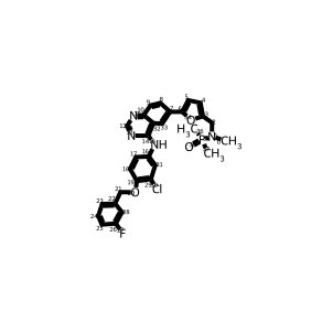 CN(Cc1ccc(-c2ccc3ncnc(Nc4ccc(OCc5cccc(F)c5)c(Cl)c4)c3c2)o1)P(C)(C)=O